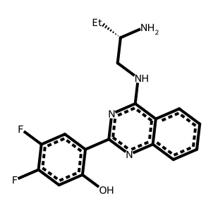 CC[C@H](N)CNc1nc(-c2cc(F)c(F)cc2O)nc2ccccc12